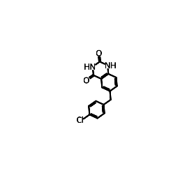 O=c1[nH]c(=O)c2cc(Cc3ccc(Cl)cc3)ccc2[nH]1